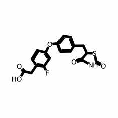 O=C(O)Cc1ccc(Oc2ccc(CC3SC(=O)NC3=O)cc2)cc1F